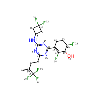 C[C@@H](CCc1nc(NC2CC(F)(F)C2)nc(C2=C(F)C(O)C(F)CC2)n1)C(F)(F)F